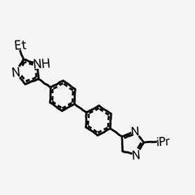 CCc1ncc(-c2ccc(-c3ccc(C4=NC(C(C)C)=NC4)cc3)cc2)[nH]1